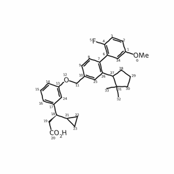 COc1ccc(F)c(-c2ccc(COc3cccc([C@H](CC(=O)O)C4CC4)c3)cc2C2CCCC2(C)C)c1